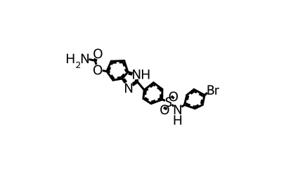 NC(=O)Oc1ccc2[nH]c(-c3ccc(S(=O)(=O)Nc4ccc(Br)cc4)cc3)nc2c1